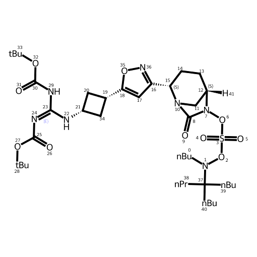 CCCCN(OS(=O)(=O)ON1C(=O)N2C[C@@H]1CC[C@H]2c1cc([C@H]2C[C@@H](N/C(=N\C(=O)OC(C)(C)C)NC(=O)OC(C)(C)C)C2)on1)C(CCC)(CCCC)CCCC